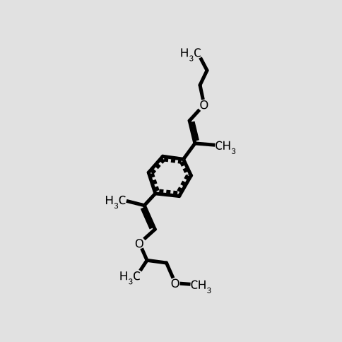 CCCOC=C(C)c1ccc(C(C)=COC(C)COC)cc1